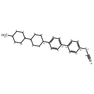 CC1CCC(C2CCC(c3ccc(-c4ccc(SC#N)cc4)cc3)CC2)CC1